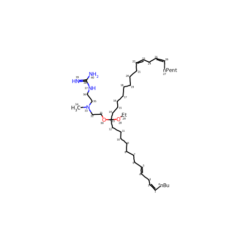 CCCC/C=C\C/C=C/CCCCCCCC(CCCCCCCC/C=C\C/C=C\CCCCC)(OCC)OCCN(C)CCNC(=N)N